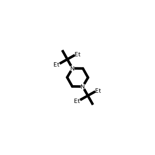 CCC(C)(CC)N1CCN(C(C)(CC)CC)CC1